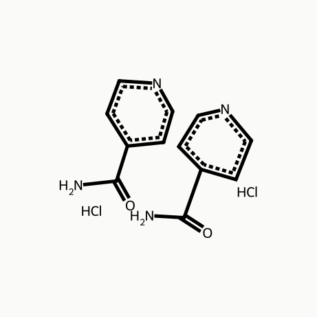 Cl.Cl.NC(=O)c1ccncc1.NC(=O)c1ccncc1